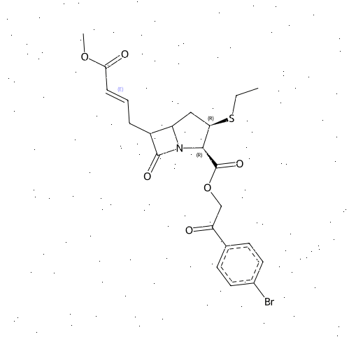 CCS[C@@H]1CC2C(C/C=C/C(=O)OC)C(=O)N2[C@@H]1C(=O)OCC(=O)c1ccc(Br)cc1